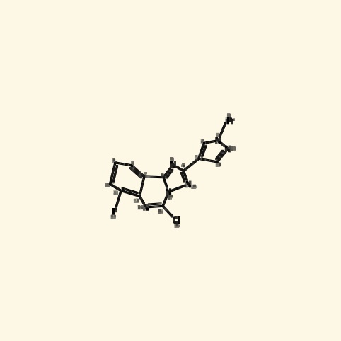 CC(C)n1cc(-c2nc3c4cccc(F)c4nc(Cl)n3n2)cn1